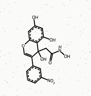 O=C(CC1(O)C(c2cccc([N+](=O)[O-])c2)=COc2cc(O)cc(O)c21)NO